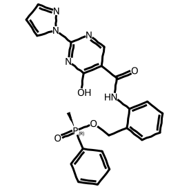 C[P@@](=O)(OCc1ccccc1NC(=O)c1cnc(-n2cccn2)nc1O)c1ccccc1